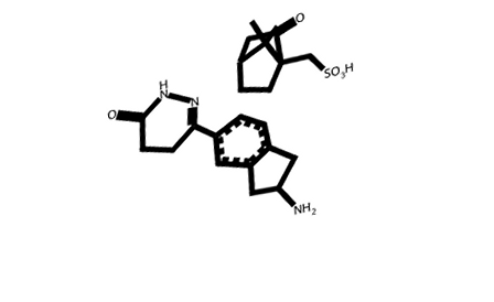 CC1(C)C2CCC1(CS(=O)(=O)O)C(=O)C2.NC1Cc2ccc(C3=NNC(=O)CC3)cc2C1